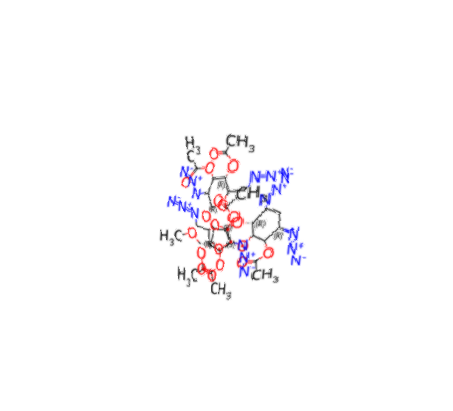 COC[C@H]1O[C@@H](OC2C(OC(C)=O)[C@H](N=[N+]=[N-])CC(N=[N+]=[N-])[C@H]2O[C@H]2OC(CN=[N+]=[N-])[C@@H](OC(C)=O)C(OC(C)=O)C2N=[N+]=[N-])C(OC(C)=O)C1O[C@H]1OC(CN=[N+]=[N-])[C@@H](OC(C)=O)C(OC(C)=O)C1N=[N+]=[N-]